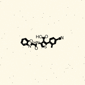 Cc1cc(C#N)ccc1-c1scc(NC(=O)c2nc3ccccc3o2)c1C(=O)O